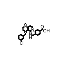 C[C@H](Nc1nccc2c1N(Cc1cccc(Cl)c1)CCN2C)c1ccc(C(=O)O)cc1